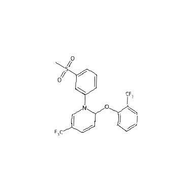 CS(=O)(=O)c1cccc(N2C=C(C(F)(F)F)C=CC2Oc2ccccc2C(F)(F)F)c1